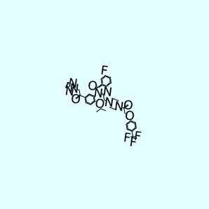 CC(C)Oc1ccc(C(=O)Cn2nccn2)cc1-n1c(CN2CCN(C(=O)COc3ccc(C(F)(F)F)cc3)CC2)nc2ccc(F)cc2c1=O